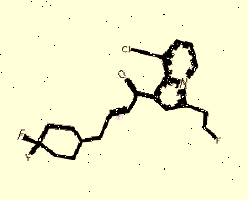 O=C(/C=C/CC1CCC(F)(F)CC1)c1cc(CCF)n2cccc(Cl)c12